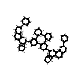 c1ccc(-c2ccc3ccc4c5c(c(-c6ccc7c(c6)-c6ccccc6-c6ccccc6-c6cc(-c8nc9c(ccc%10ccc(-c%11ccccc%11)nc%109)c9c8C8CCC9C8)ccc6-7)nc4c3n2)C2CCC5C2)cc1